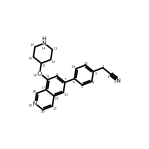 N#CCc1ccc(-c2cc(OC3CCNCC3)c3cnccc3c2)cc1